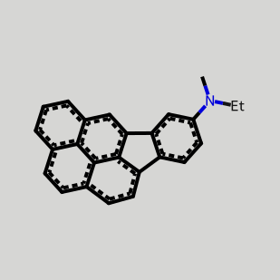 CCN(C)c1ccc2c(c1)-c1cc3cccc4ccc5ccc-2c1c5c43